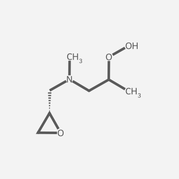 CC(CN(C)C[C@H]1CO1)OO